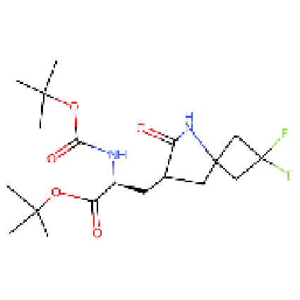 CC(C)(C)OC(=O)N[C@@H](CC1CC2(CC(F)(F)C2)NC1=O)C(=O)OC(C)(C)C